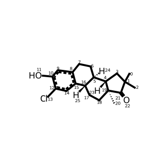 CC1(C)C[C@H]2[C@@H]3CCc4cc(O)c(Cl)cc4[C@H]3CC[C@]2(C)C1=O